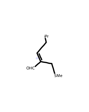 CSC/C(C=O)=C\CC(C)C